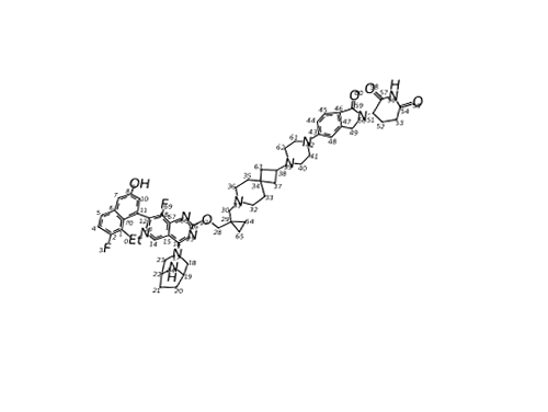 CCc1c(F)ccc2cc(O)cc(-c3ncc4c(N5CC6CCC(C5)N6)nc(OCC5(CN6CCC7(CC6)CC(N6CCN(c8ccc9c(c8)CN([C@H]8CCC(=O)NC8=O)C9=O)CC6)C7)CC5)nc4c3F)c12